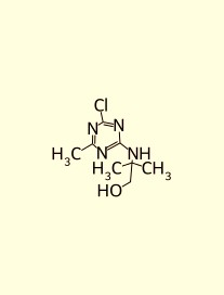 Cc1nc(Cl)nc(NC(C)(C)CO)n1